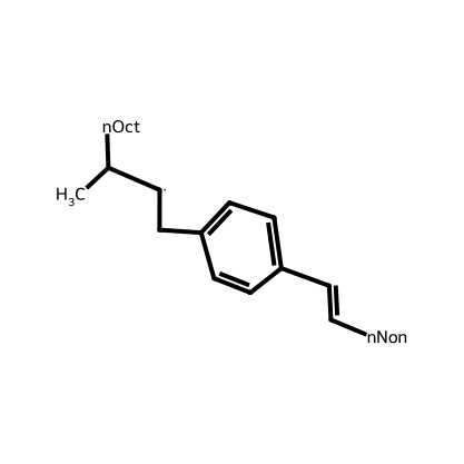 CCCCCCCCCC=Cc1ccc(C[CH]C(C)CCCCCCCC)cc1